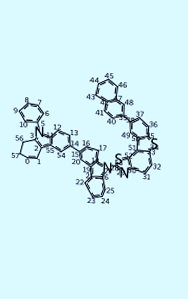 C1=Cc2c(n(-c3ccccc3)c3ccc(-c4ccc5c(c4)c4ccccc4n5-c4nc5ccc6sc7ccc(-c8ccc9ccccc9c8)cc7c6c5s4)cc23)CC1